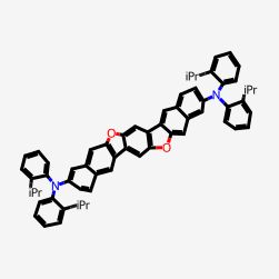 CC(C)c1ccccc1N(c1ccc2cc3c(cc2c1)oc1cc2c(cc13)oc1cc3cc(N(c4ccccc4C(C)C)c4ccccc4C(C)C)ccc3cc12)c1ccccc1C(C)C